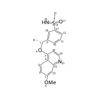 COc1ccc2c(O[C@H](C)c3cccc(S(C)(=N)=O)c3)ccnc2c1